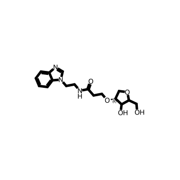 O=C(CCO[C@@H]1COC(CO)C1O)NCCn1cnc2ccccc21